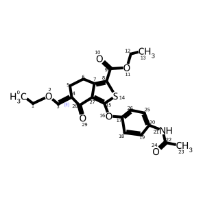 CCO/C=C1\CCc2c(C(=O)OCC)sc(Oc3ccc(NC(C)=O)cc3)c2C1=O